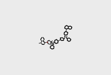 CC1C=CC(C2=CCC(C)(N(c3ccccc3)c3ccc(-c4ccc(N(c5ccccc5)c5ccc(-c6cccc7ccccc67)cc5)cc4)cc3)C=C2)=C2C=CC=CC21